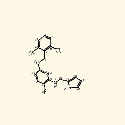 Fc1cnc(OCc2c(Cl)cccc2Cl)nc1NCc1cccs1